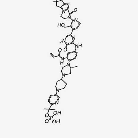 C=CC(=O)Nc1cc(Nc2nc(-c3ccnc(N4CCn5c(cc6c5CC(C)(C)C6)C4=O)c3CO)cn(C)c2=O)ccc1N1CCN(C2CCN(c3ccc(C(C)(C)OP(=O)(O)O)nc3)CC2)C[C@@H]1C